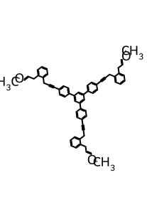 COC=CCc1ccccc1CC#Cc1ccc(-c2cc(-c3ccc(C#CCc4ccccc4CC=COC)cc3)cc(-c3ccc(C#CCc4ccccc4CC=COC)cc3)c2)cc1